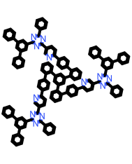 c1ccc(-c2cc(-c3ccccc3)cc(-c3nc(-c4ccccc4)nc(-c4ccc(-c5ccc(-c6ccccc6-c6cc(-c7ccccc7-c7ccc(-c8ccc(-c9nc(-c%10ccccc%10)nc(-c%10cc(-c%11ccccc%11)cc(-c%11ccccc%11)c%10)n9)cn8)cc7)cc(-c7ccccc7-c7ccc(-c8ccc(-c9nc(-c%10ccccc%10)nc(-c%10cc(-c%11ccccc%11)cc(-c%11ccccc%11)c%10)n9)cn8)cc7)c6)cc5)nc4)n3)c2)cc1